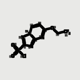 O=S(=O)(Cl)c1nc2nc(OCC(F)(F)F)ccn2n1